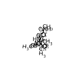 CNC(=O)c1cccc(S(=O)(=O)Nc2nc(OOC)cc(-c3c(C)cccc3C)n2)c1